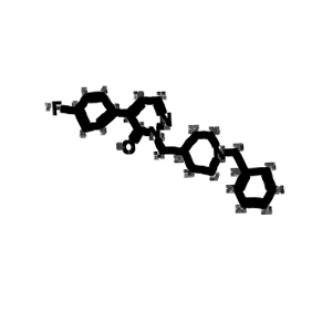 O=c1c(-c2ccc(F)cc2)ccnn1CC1CCN(Cc2ccccc2)CC1